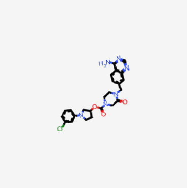 Nc1ncnc2cc(CN3CCN(C(=O)OC4CCN(c5cccc(Cl)c5)C4)CC3=O)ccc12